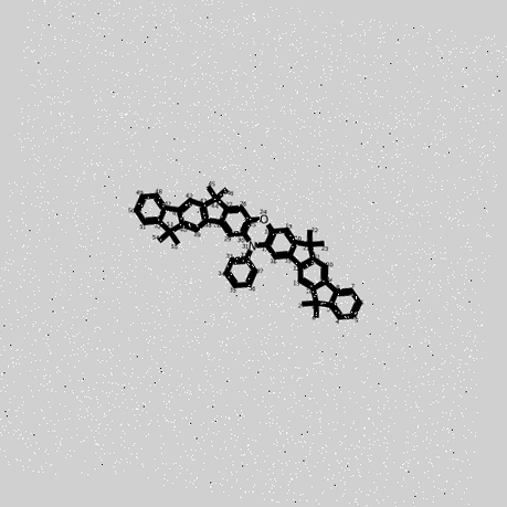 CC1(C)c2ccccc2-c2cc3c(cc21)-c1cc2c(cc1C3(C)C)Oc1cc3c(cc1N2c1ccccc1)-c1cc2c(cc1C3(C)C)-c1ccccc1C2(C)C